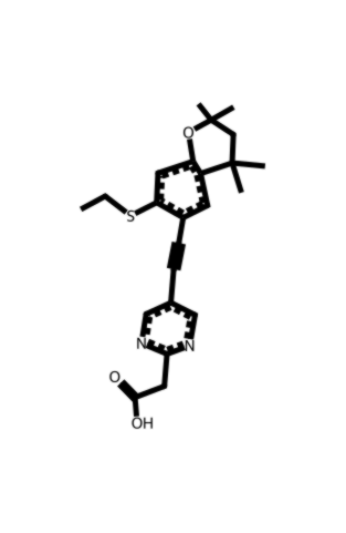 CCSc1cc2c(cc1C#Cc1cnc(CC(=O)O)nc1)C(C)(C)CC(C)(C)O2